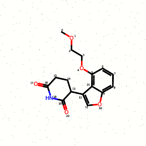 COCCOc1cccc2occ(C3CCC(=O)NC3=O)c12